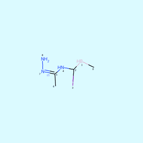 CBC(I)N/C(C)=N\N